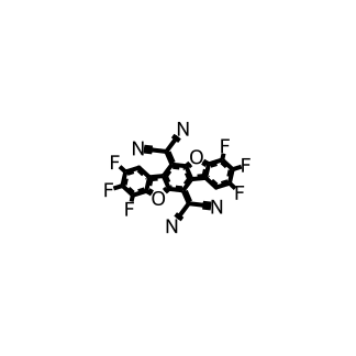 N#CC(C#N)=c1c2oc3c(F)c(F)c(F)cc3c2c(=C(C#N)C#N)c2oc3c(F)c(F)c(F)cc3c12